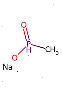 C[PH](=O)[O-].[Na+]